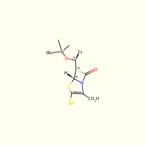 CC[C@H](O[Si](C)(C)C(C)(C)C)[C@@H]1C(=O)N2C(C(=O)O)=C(S)S[C@H]12